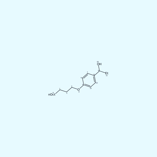 CCCCCCCCCCCOc1ccc(C(O)CC)cc1